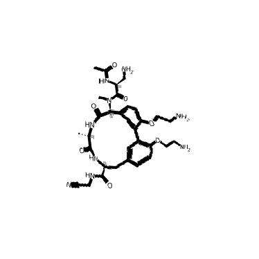 CC(=O)N[C@@H](CN)C(=O)N(C)[C@@H]1C(=O)N[C@@H](C)C(=O)N[C@H](C(=O)NCC#N)Cc2ccc(OCCN)c(c2)-c2cc1ccc2OCCN